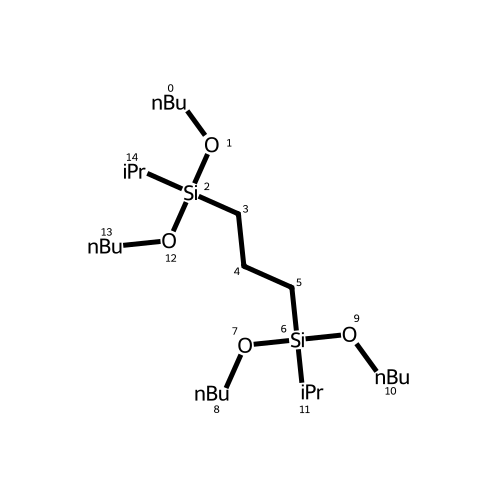 CCCCO[Si](CCC[Si](OCCCC)(OCCCC)C(C)C)(OCCCC)C(C)C